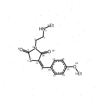 CCNCCN1C(=O)SC(=Cc2ccc(OCC)cc2)C1=O